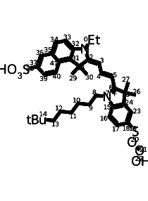 CCN1/C(=C/C=C/C2=[N+](CCCCCCC(C)(C)C)c3ccc(SOOO)cc3C2(C)C)C(C)(C)c2c1ccc1cc(S(=O)(=O)O)ccc21